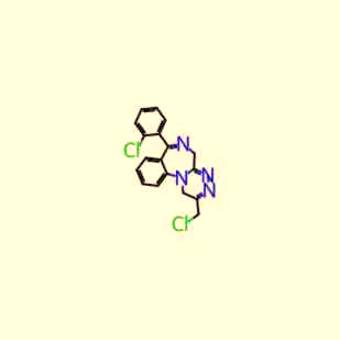 ClCC1=NN=C2CN=C(c3ccccc3Cl)c3ccccc3N2C1